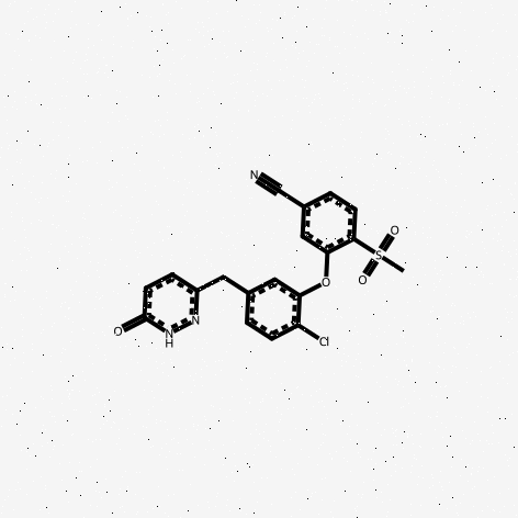 CS(=O)(=O)c1ccc(C#N)cc1Oc1cc(Cc2ccc(=O)[nH]n2)ccc1Cl